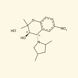 CC1CC(C)N([C@H]2c3cc([N+](=O)[O-])ccc3OC(C)(C)[C@@H]2O)C1.Cl